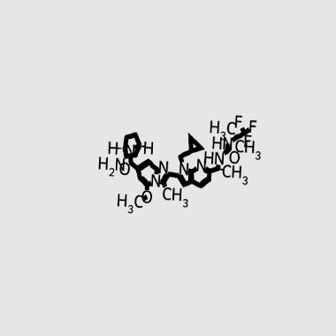 COc1cc(C(=O)N2[C@H]3CC[C@@H]2[C@H](N)C3)cc2nc(-c3cc4ccc([C@@H](C)NC(=O)NC(C)(C)C(F)(F)F)nc4n3CC3CC3)c(C)n12